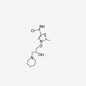 CC1SC(C(=N)Cl)=CN1OCC(O)CN1CCCCC1